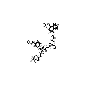 CC1(C)OCC(CCOP(=O)(CCCOC(=O)NCCCNc2ccc([N+](=O)[O-])c3nonc23)Oc2ccc([N+](=O)[O-])cc2)O1